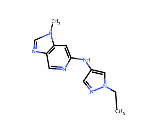 CCn1cc(Nc2cc3c(cn2)ncn3C)cn1